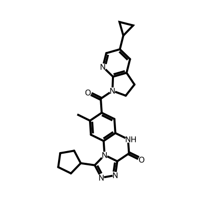 Cc1cc2c(cc1C(=O)N1CCc3cc(C4CC4)cnc31)[nH]c(=O)c1nnc(C3CCCC3)n12